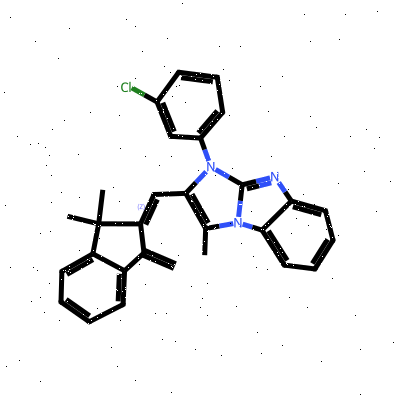 C=C1/C(=C\c2c(C)n3c4ccccc4nc3n2-c2cccc(Cl)c2)C(C)(C)c2ccccc21